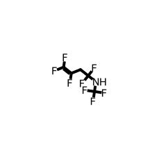 FC(F)=C(F)CC(F)(F)NC(F)(F)F